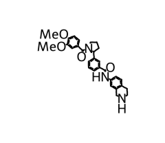 COc1ccc(C(=O)N2CCCC2c2cccc(C(=O)Nc3ccc4c(c3)CNCC4)c2)cc1OC